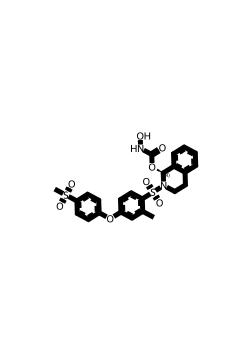 Cc1cc(Oc2ccc(S(C)(=O)=O)cc2)ccc1S(=O)(=O)N1CCc2ccccc2[C@H]1OC(=O)NO